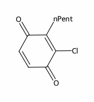 CCCCCC1=C(Cl)C(=O)C=CC1=O